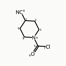 N#CC1CCN(C(=O)Cl)CC1